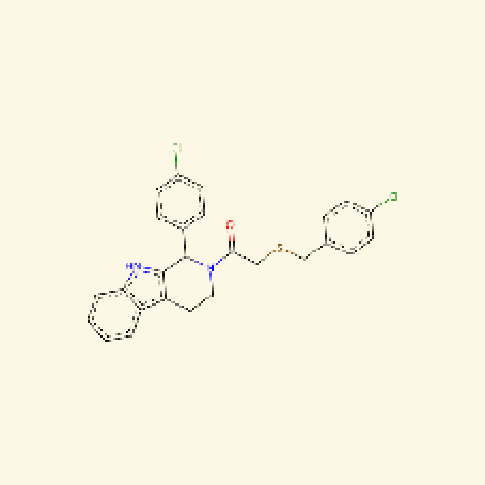 O=C(CSCc1ccc(Cl)cc1)N1CCc2c([nH]c3ccccc23)C1c1ccc(Cl)cc1